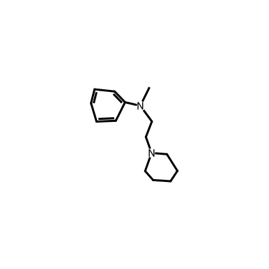 CN(CCN1CCCCC1)c1ccccc1